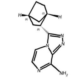 Nc1nccn2c([C@@H]3C[C@@H]4CC[C@H]3C4)nnc12